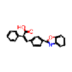 O=C(O)C(=Cc1ccc(-c2nc3ccccc3o2)cc1)c1ccccc1